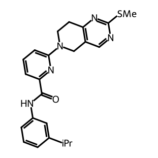 CSc1ncc2c(n1)CCN(c1cccc(C(=O)Nc3cccc(C(C)C)c3)n1)C2